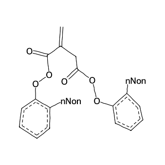 C=C(CC(=O)OOc1ccccc1CCCCCCCCC)C(=O)OOc1ccccc1CCCCCCCCC